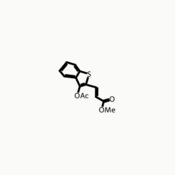 COC(=O)C=Cc1sc2ccccc2c1OC(C)=O